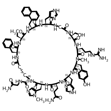 CC[C@@H]1NC(=O)[C@H](Cc2ccccc2)NC(=O)CSC[C@@H](C(=O)NCC(N)=O)NC(=O)[C@H](Cc2cncn2C)NC(=O)[C@H](CCC(N)=O)NC(=O)[C@H](Cc2c[nH]cn2)NC(=O)[C@H](Cc2ccc(O)cc2)N(C)C(=O)[C@H](CCCNC(=N)N)NC(=O)[C@H](CO)NC(=O)CNC(=O)[C@H](Cc2c[nH]cn2)NC(=O)[C@H](Cc2cccc3ccccc23)NC1=O